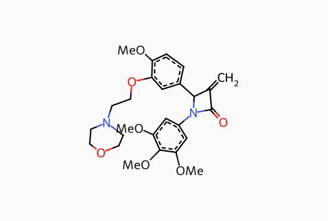 C=C1C(=O)N(c2cc(OC)c(OC)c(OC)c2)C1c1ccc(OC)c(OCCN2CCOCC2)c1